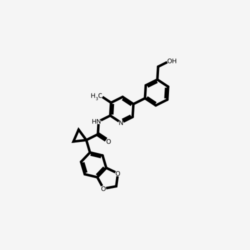 Cc1cc(-c2cccc(CO)c2)cnc1NC(=O)C1(c2ccc3c(c2)OCO3)CC1